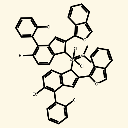 CCc1ccc2c(c1-c1ccccc1Cl)C=C(c1occ3ccccc13)[CH]2[Zr]([Cl])([Cl])([CH]1C(c2occ3ccccc23)=Cc2c1ccc(CC)c2-c1ccccc1Cl)=[Si](C)C